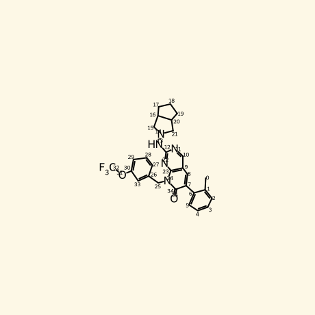 Cc1ccccc1-c1cc2cnc(NN3CC4CCCC4C3)nc2n(Cc2cccc(OC(F)(F)F)c2)c1=O